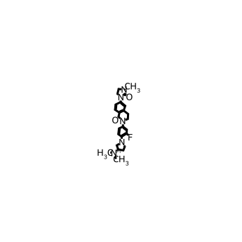 CN1CCN(c2ccc3c(c2)CCN(c2ccc(N4CC[C@@H](N(C)C)C4)c(F)c2)C3=O)C1=O